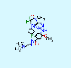 COc1cc(C(=O)NCCCN(C)C)c(F)cc1Nc1ncc2c(n1)N(C1CCCC1)CC(F)(F)C(=O)N2C